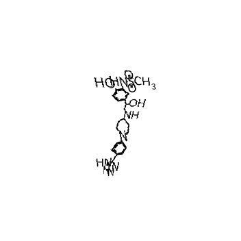 CS(=O)(=O)Nc1cc(C(O)CNC2CCN(c3ccc(-c4nnn[nH]4)cc3)CC2)ccc1O